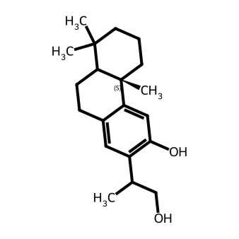 CC(CO)c1cc2c(cc1O)[C@@]1(C)CCCC(C)(C)C1CC2